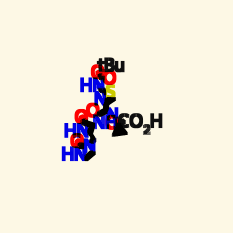 CC(C)(C)OC(=O)Nc1nc(/C(=N/OC2(C(=O)O)CC2)C(=O)N[C@@H]2C(=O)N[C@@H]2CN2CCNC2=O)cs1